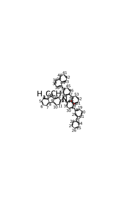 CC1(C)c2ccccc2-c2ccc(N(c3ccc(-c4cccc(-c5ccccc5)c4)cc3)c3cc(-c4cccc5ccccc45)ccc3-c3ccccc3)cc21